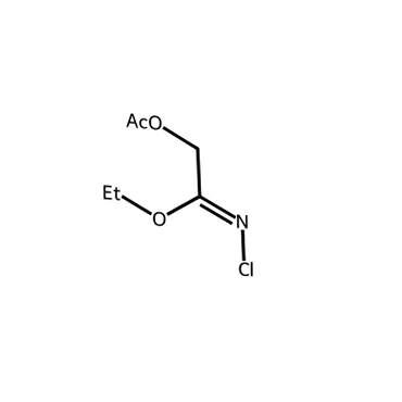 CCO/C(COC(C)=O)=N\Cl